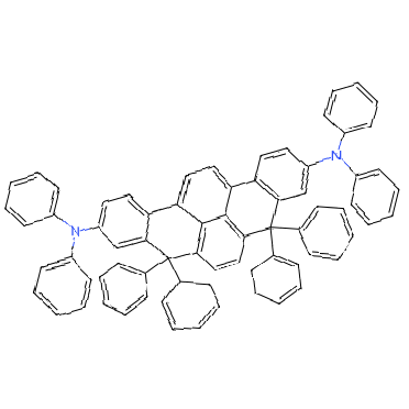 C1=CCCC(C2(c3ccccc3)c3cc(N(c4ccccc4)c4ccccc4)ccc3-c3ccc4c5c(ccc2c35)C(c2ccccc2)(C2C=CC=CC2)c2cc(N(c3ccccc3)c3ccccc3)ccc2-4)=C1